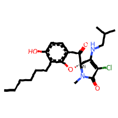 CCCCCCc1c(O)ccc2c1O[C@]1(C2=O)C(NCC(C)C)=C(Cl)C(=O)N1C